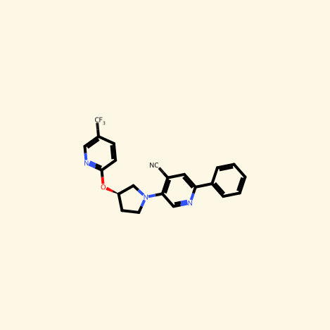 N#Cc1cc(-c2ccccc2)ncc1N1CC[C@@H](Oc2ccc(C(F)(F)F)cn2)C1